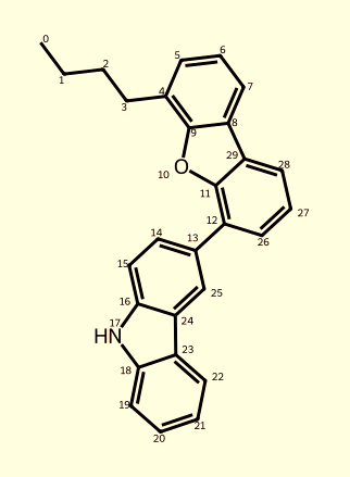 CCCCc1cccc2c1oc1c(-c3ccc4[nH]c5ccccc5c4c3)cccc12